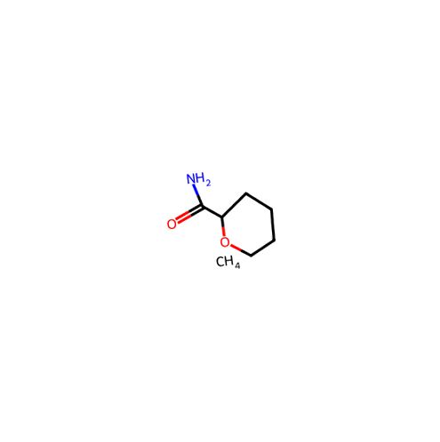 C.NC(=O)C1CCCCO1